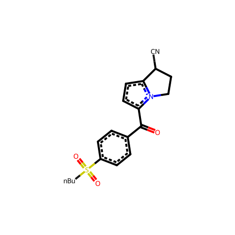 CCCCS(=O)(=O)c1ccc(C(=O)c2ccc3n2CCC3C#N)cc1